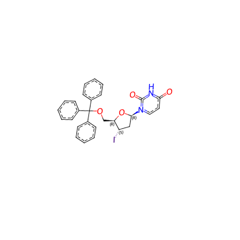 O=c1ccn([C@H]2C[C@H](I)[C@@H](COC(c3ccccc3)(c3ccccc3)c3ccccc3)O2)c(=O)[nH]1